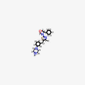 Cc1nc(N2COC=C2c2ccccc2)sc1Cc1cccc(N2CCN(C)CC2)c1